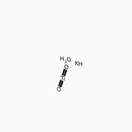 O.[KH].[O]=[Ti]=[O]